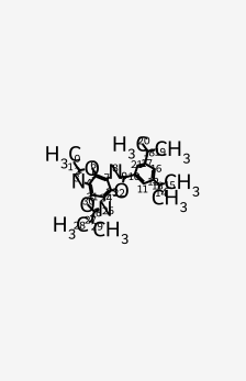 CCc1nc2c(o1)c1nc(-c3cc(C(C)C)cc(C(C)C)c3)oc1c1nc(C(C)C)oc21